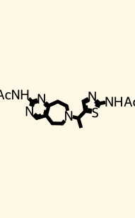 CC(=O)Nc1ncc2c(n1)CCN(C(C)c1cnc(NC(C)=O)s1)CC2